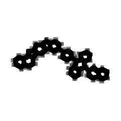 c1ccc2cc(-c3c4ccccc4c(-c4ccc(-c5ccc6sc7cc8oc9c%10ccccc%10ccc9c8cc7c6c5)cc4)c4ccccc34)ccc2c1